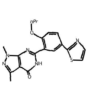 CCCOc1ccc(-c2nccs2)cc1-c1nc2c(c(C)nn2C)c(=O)[nH]1